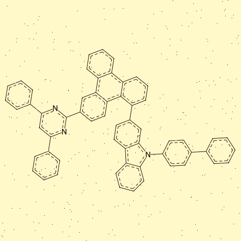 c1ccc(-c2ccc(-n3c4ccccc4c4ccc(-c5cccc6c7ccccc7c7cc(-c8nc(-c9ccccc9)cc(-c9ccccc9)n8)ccc7c56)cc43)cc2)cc1